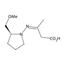 COC[C@@H]1CCCN1N=C(C)CC(=O)O